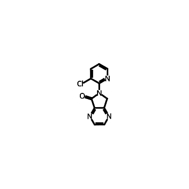 O=C1c2nccnc2CN1c1ncccc1Cl